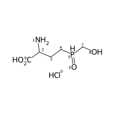 Cl.NC(CC[PH](=O)CO)C(=O)O